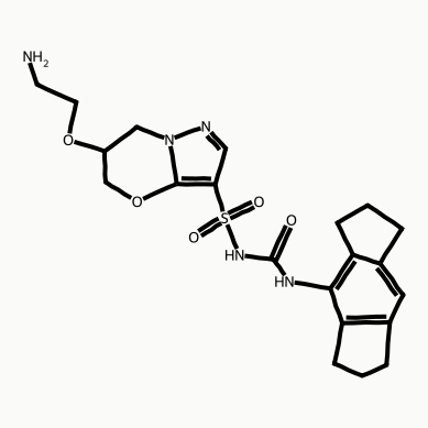 NCCOC1COc2c(S(=O)(=O)NC(=O)Nc3c4c(cc5c3CCC5)CCC4)cnn2C1